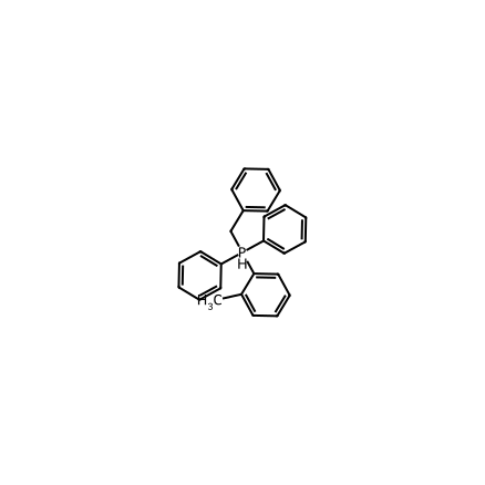 Cc1ccccc1[PH](Cc1ccccc1)(c1ccccc1)c1ccccc1